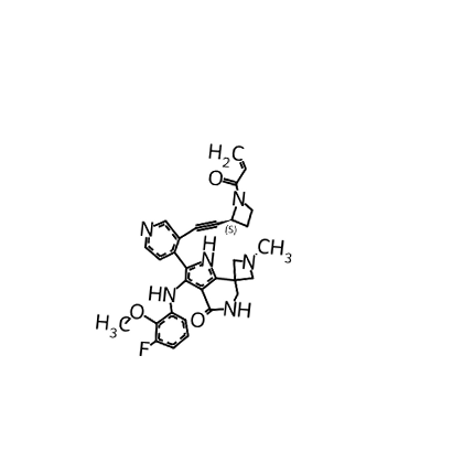 C=CC(=O)N1CC[C@H]1C#Cc1cnccc1-c1[nH]c2c(c1Nc1cccc(F)c1OC)C(=O)NCC21CN(C)C1